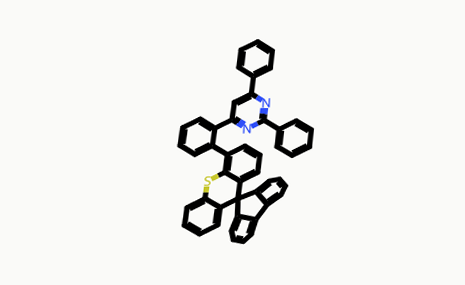 c1ccc(-c2cc(-c3ccccc3-c3cccc4c3Sc3ccccc3C43c4ccccc4-c4ccccc43)nc(-c3ccccc3)n2)cc1